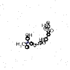 CC/C(=C(\c1ccc(O)cc1)c1ccc(OCCN2CCC(OC3CCC(c4ccc5c(c4)CN(C4CCC(=O)NC4=O)C5=O)CN3)C2)cc1)c1ccccc1